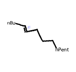 C[CH]CC/C=C/CCCCCCCC